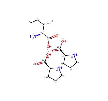 CC[C@H](C)[C@H](N)C(=O)O.O=C(O)[C@@H]1CCCN1.O=C(O)[C@@H]1CCCN1